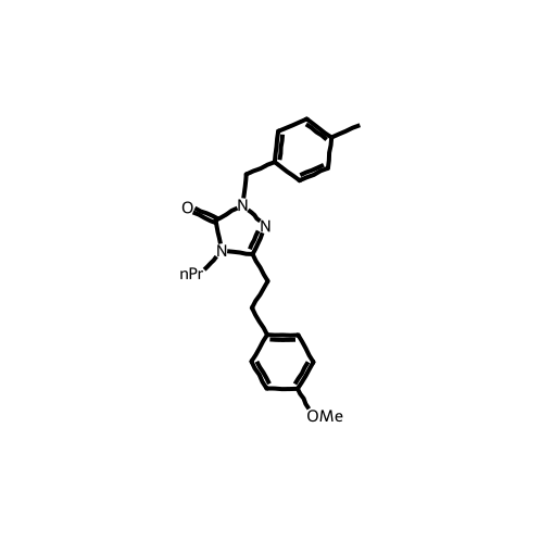 CCCn1c(CCc2ccc(OC)cc2)nn(Cc2ccc(C)cc2)c1=O